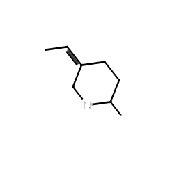 C/C=C1/CCC(F)NC1